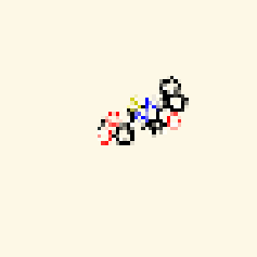 CC1(C)[C@H]2COc3ccc4ccccc4c3[C@H]2N=C2SC=C(c3cccc4c3OCCO4)N21